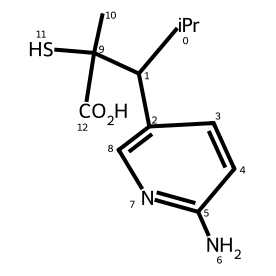 CC(C)C(c1ccc(N)nc1)C(C)(S)C(=O)O